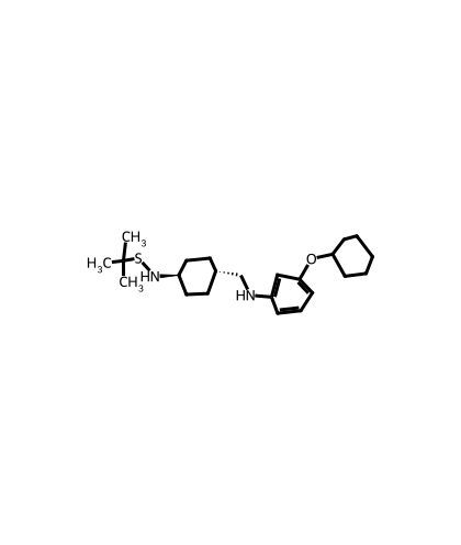 CC(C)(C)SN[C@H]1CC[C@H](CNc2cccc(OC3CCCCC3)c2)CC1